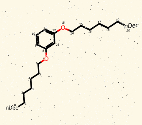 CCCCCCCCCCCCCCCCOc1c[c]cc(OCCCCCCCCCCCCCCCC)c1